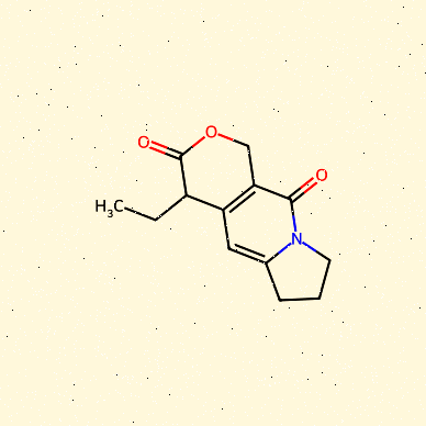 CCC1C(=O)OCc2c1cc1n(c2=O)CCC1